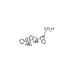 CCCCC1(c2ccccc2)Oc2ccc(CC(=O)c3cn(CCCC(=O)O)c4ccccc34)c(CCC)c2O1